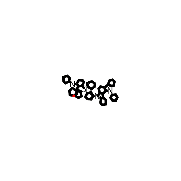 c1ccc(-n2c3ccccc3c3c([Si](c4ccccc4)(c4ccccc4)c4cccc(-n5c6ccccc6c6c5ccc5c7ccccc7n(-c7ccccc7)c56)c4)cccc32)cc1